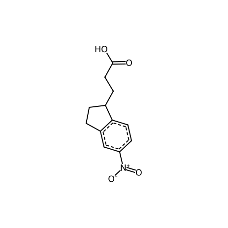 O=C(O)CCC1CCc2cc([N+](=O)[O-])ccc21